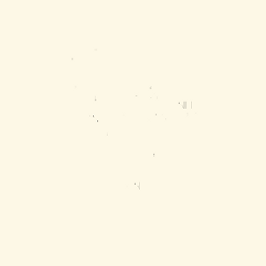 N#Cc1cc([N+](=O)[O-])c(Oc2ccccc2)c(S(N)(=O)=O)c1